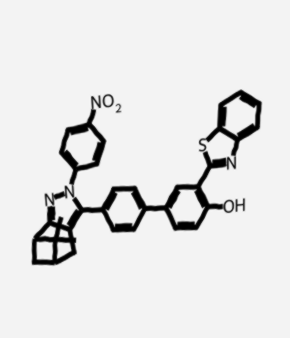 CC1(C)C2Cc3c(nn(-c4ccc([N+](=O)[O-])cc4)c3-c3ccc(-c4ccc(O)c(-c5nc6ccccc6s5)c4)cc3)C1C2